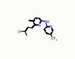 C=c1ccc(Nc2ccc(C(F)(F)F)cn2)n/c1=C/C=C(\C)Cl